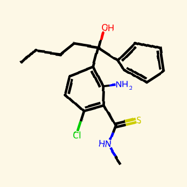 CCCCC(O)(c1ccccc1)c1ccc(Cl)c(C(=S)NC)c1N